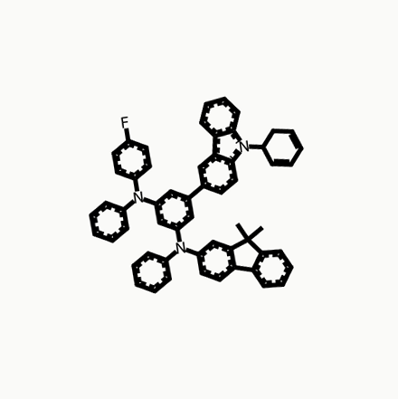 CC1(C)c2ccccc2-c2ccc(N(c3ccccc3)c3cc(-c4ccc5c(c4)c4ccccc4n5C4C=CC=CC4)cc(N(c4ccccc4)c4ccc(F)cc4)c3)cc21